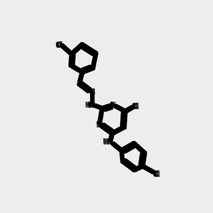 Clc1ccc(Nc2cc(Cl)nc(N/N=C/c3cccc(Cl)c3)n2)cc1